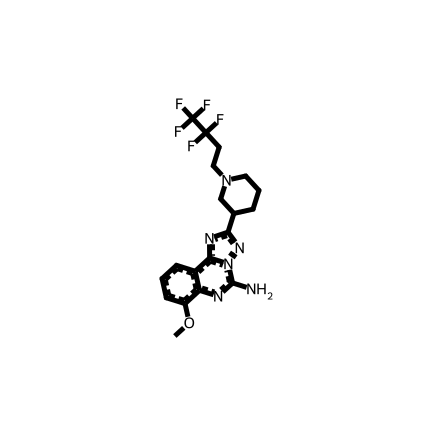 COc1cccc2c1nc(N)n1nc(C3CCCN(CCC(F)(F)C(F)(F)F)C3)nc21